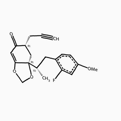 C#CC[C@@H]1C[C@]2([C@@H](C)Cc3ccc(OC)cc3F)OCOC2=CC1=O